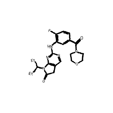 CCC(CC)N1C(=O)Cc2cnc(Nc3cc(C(=O)N4CCOCC4)ccc3F)nc21